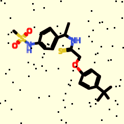 CC(NC(=S)COc1ccc(C(C)(C)C)cc1)c1ccc(NS(C)(=O)=O)cc1